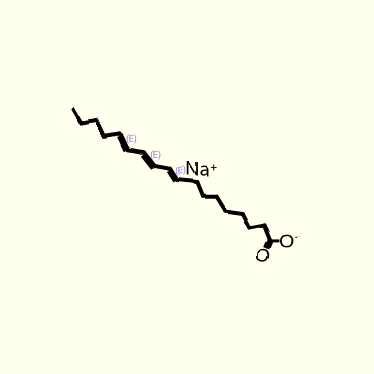 CCCC/C=C/C=C/C=C/CCCCCCCC(=O)[O-].[Na+]